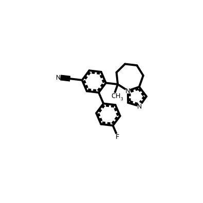 CC1(c2ccc(C#N)cc2-c2ccc(F)cc2)CCCCc2cncn21